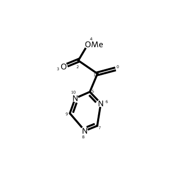 C=C(C(=O)OC)c1ncncn1